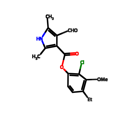 CCc1ccc(OC(=O)c2c(C)[nH]c(C)c2C=O)c(Cl)c1OC